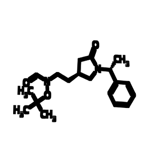 C[C@H](c1ccccc1)N1C[C@@H](CCN(C=O)OC(C)(C)C)CC1=O